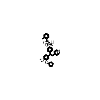 COc1ccc(C(Cc2ccncc2)c2ccc(S(=O)(=O)NC(=O)c3ccccc3C)cc2)cc1OC1CCCC1